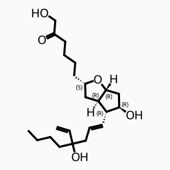 C=CC(O)(CC=C[C@@H]1[C@H]2C[C@H](CCCCC(=O)CO)O[C@@H]2C[C@H]1O)CCCC